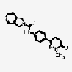 CN1N=C(c2ccc(NC(=O)N3Cc4ccncc4C3)cc2)CCC1=O